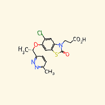 Cc1ccc([C@H](C)Oc2cc3sc(=O)n(CCC(=O)O)c3cc2Cl)nn1